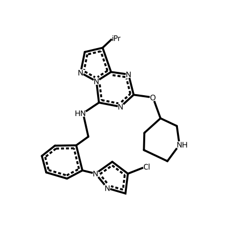 CC(C)c1cnn2c(NCc3ccccc3-n3cc(Cl)cn3)nc(OC3CCCNC3)nc12